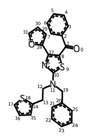 O=C(c1ccccc1)c1sc(N(CCc2cccs2)Cc2ccccc2)nc1-c1ccco1